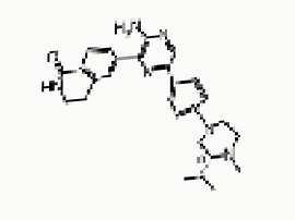 CC(C)[C@@H]1CN(c2ccc(-c3cnc(N)c(-c4ccc5c(c4)CCNC5=O)n3)cc2)CCN1C